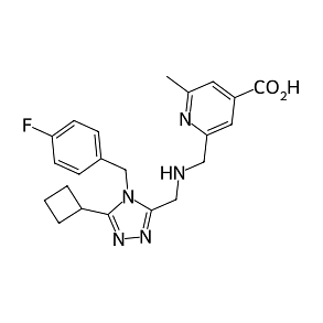 Cc1cc(C(=O)O)cc(CNCc2nnc(C3CCC3)n2Cc2ccc(F)cc2)n1